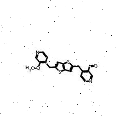 COc1cnccc1Cc1cc2sc(Cc3ccncc3C=O)cc2s1